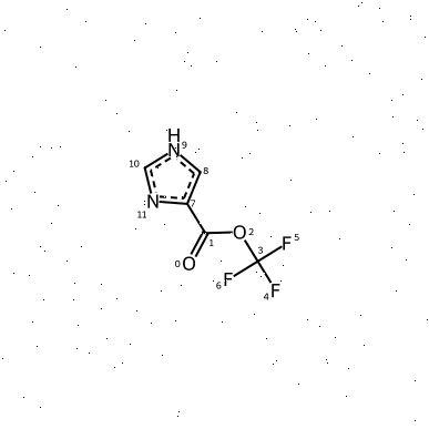 O=C(OC(F)(F)F)c1c[nH]cn1